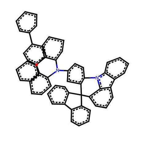 c1ccc(-c2ccc(-c3ccccc3N(c3ccc4c(c3)C3(c5ccccc5-c5ccccc53)c3cccc5c6ccccc6n-4c35)c3ccccc3-c3ccccc3)cc2)cc1